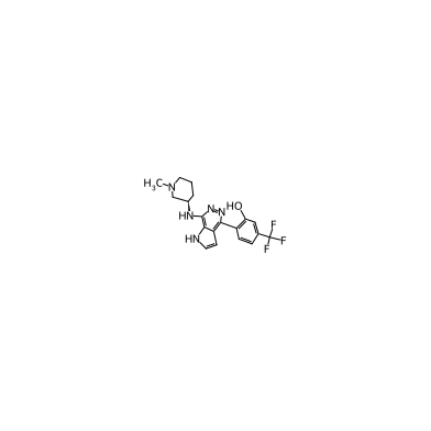 CN1CCC[C@@H](Nc2nnc(-c3ccc(C(F)(F)F)cc3O)c3cc[nH]c23)C1